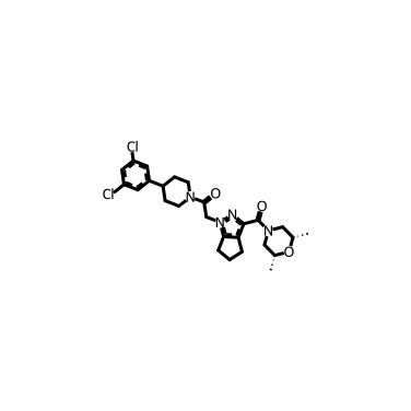 C[C@@H]1CN(C(=O)c2nn(CC(=O)N3CCC(c4cc(Cl)cc(Cl)c4)CC3)c3c2CCC3)C[C@H](C)O1